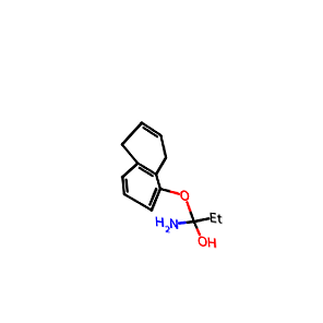 CCC(N)(O)Oc1cccc2c1CC=CC2